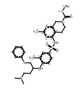 CN(C)CCC(CSc1ccccc1)Nc1ccc(S(=O)(=O)Nc2nc(C(F)(F)F)nc3c2CCN(C(=O)OC(C)(C)C)C3)cc1[N+](=O)[O-]